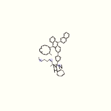 C/C=C\CC/C=C\C(C)N/C(=N\C1=CC=CC=CC1)c1ccc(-c2ccc3c(-c4ccc5ccccc5c4)c4ccccc4c(-c4cccccccc(C)c4)c3c2)cc1